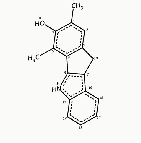 Cc1cc2c(c(C)c1O)-c1[nH]c3ccccc3c1C2